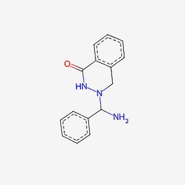 NC(c1ccccc1)N1Cc2ccccc2C(=O)N1